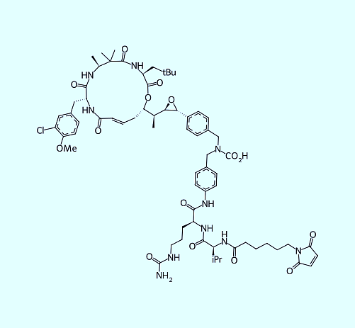 COc1ccc(C[C@H]2NC(=O)/C=C/C[C@@H]([C@H](C)[C@H]3O[C@@H]3c3ccc(CN(Cc4ccc(NC(=O)[C@H](CCCNC(N)=O)NC(=O)[C@@H](NC(=O)CCCCCN5C(=O)C=CC5=O)C(C)C)cc4)C(=O)O)cc3)OC(=O)[C@H](CC(C)(C)C)NC(=O)C(C)(C)[C@H](C)NC2=O)cc1Cl